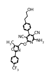 Cc1oc(-c2ccc(C(F)(F)F)cc2)nc1COc1nc(N)c(C#N)c(-c2ccc(CCCO)cc2)c1C#N